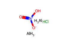 Cl.O=[N+]([O-])O.[AlH3].[AlH3]